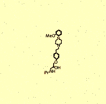 COc1ccccc1N1CCN(CCc2ccc(OC[C@@H](O)CNC(C)C)cc2)CC1